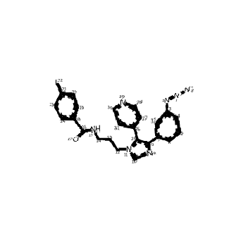 [N-]=[N+]=Nc1cccc(-c2ncn(CCCNC(=O)c3ccc(I)cc3)c2-c2ccncc2)c1